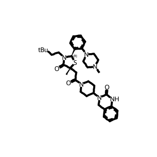 CN1CCN(c2ccccc2[C@H]2S[C@](C)(CC(=O)N3CCC(N4Cc5ccccc5NC4=O)CC3)C(=O)N2CCC(C)(C)C)CC1